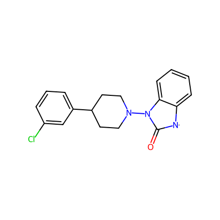 O=C1[N]c2ccccc2N1N1CCC(c2cccc(Cl)c2)CC1